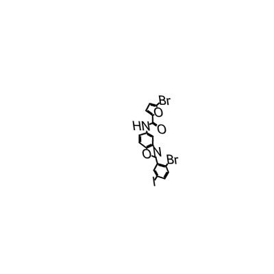 O=C(Nc1ccc2oc(-c3cc(I)ccc3Br)nc2c1)c1ccc(Br)o1